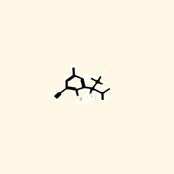 C#Cc1cc(C)cc(C(O)(C(C)C)C(F)(F)F)c1N